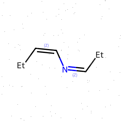 CC/C=C\N=C/CC